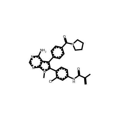 C=C(C)C(=O)Nc1ccc(-c2c(-c3ccc(C(=O)N4CCCC4)cc3)c3c(N)ncnc3n2C)c(Cl)c1